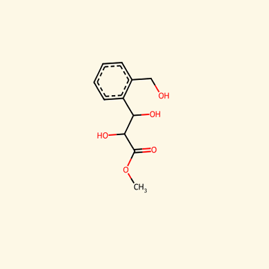 COC(=O)C(O)C(O)c1ccccc1CO